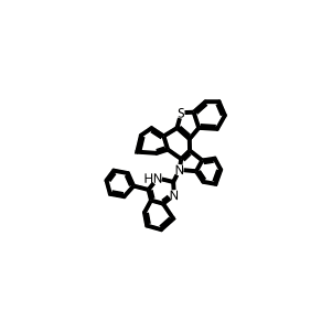 c1ccc(C2=c3ccccc3=NC(n3c4ccccc4c4c5c6ccccc6sc5c5ccccc5c43)N2)cc1